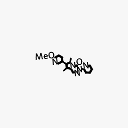 COc1ccc(-c2c(C)c3cnn(-c4ccccn4)c(=O)n3c2C)cn1